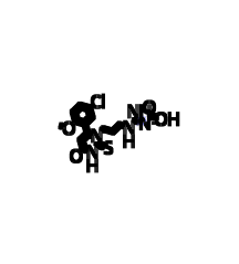 COc1ccc(Cl)cc1-c1cc(=O)[nH]c(=S)n1CCCN/C(N)=N/C(=O)O